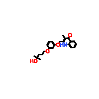 Cc1c(COc2cccc(OCCCC(C)(C)O)c2)[nH]c2ccccc2c1=O